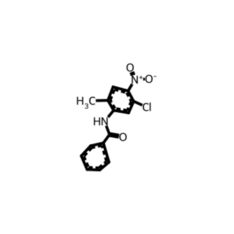 Cc1cc([N+](=O)[O-])c(Cl)cc1NC(=O)c1ccccc1